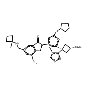 CO[C@H]1C[C@](c2cc(OC3CCCC3)cc(N3Cc4c(cc(CNC5(C)CCC5)cc4C(F)(F)F)C3=O)c2)(c2nncn2C)C1